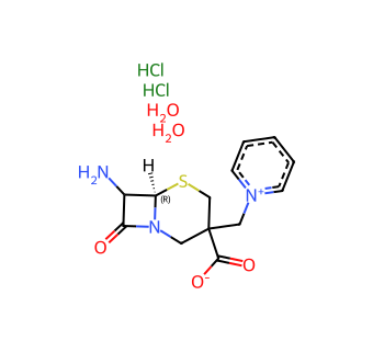 Cl.Cl.NC1C(=O)N2CC(C[n+]3ccccc3)(C(=O)[O-])CS[C@H]12.O.O